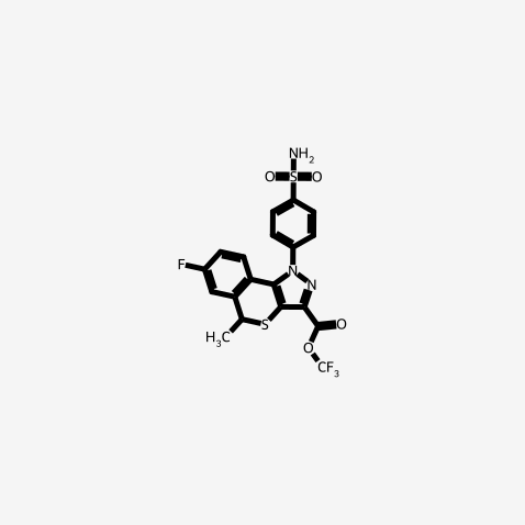 CC1Sc2c(C(=O)OC(F)(F)F)nn(-c3ccc(S(N)(=O)=O)cc3)c2-c2ccc(F)cc21